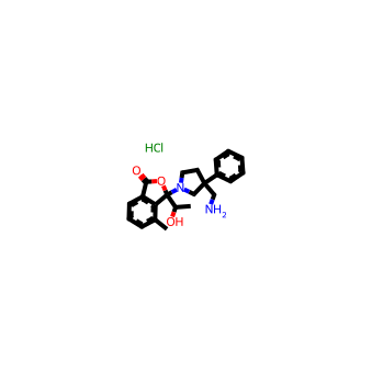 Cc1cccc2c1C(C(C)O)(N1CCC(CN)(c3ccccc3)C1)OC2=O.Cl